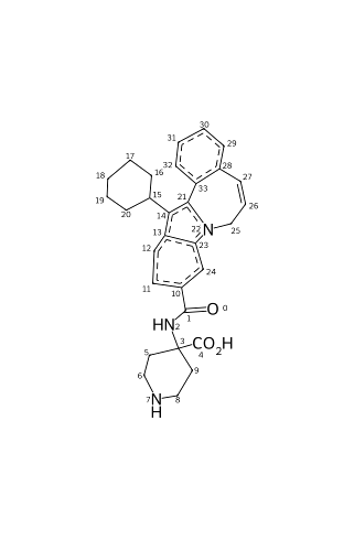 O=C(NC1(C(=O)O)CCNCC1)c1ccc2c(C3CCCCC3)c3n(c2c1)CC=Cc1ccccc1-3